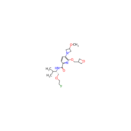 COC1CN(c2ccc(C(=O)N[C@H](COCCF)C(C)C)nc2OCC2COC2)C1